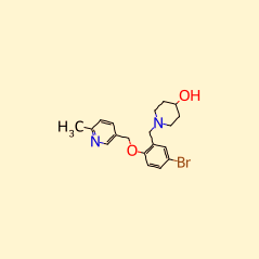 Cc1ccc(COc2ccc(Br)cc2CN2CCC(O)CC2)cn1